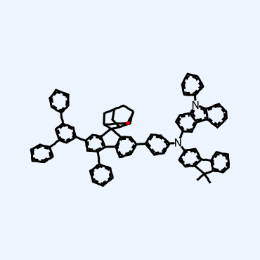 CC1(C)c2ccccc2-c2cc(N(c3ccc(-c4ccc5c(c4)C4(c6cc(-c7cc(-c8ccccc8)cc(-c8ccccc8)c7)cc(-c7ccccc7)c6-5)C5CC6CC(C5)CC4C6)cc3)c3ccc4c(c3)c3ccccc3n4-c3ccccc3)ccc21